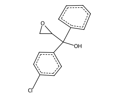 OC(c1ccccc1)(c1ccc(Cl)cc1)C1CO1